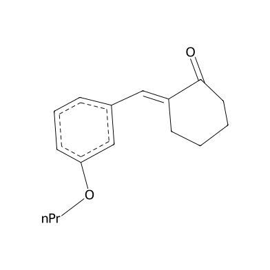 CCCOc1cccc(C=C2CCCCC2=O)c1